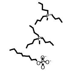 CCCCCCCCOP(=O)([O-])[O-].CCCC[P+](C)(CCCC)CCCC.CCCC[P+](C)(CCCC)CCCC